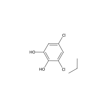 CCC.Oc1cc(Cl)cc(Cl)c1O